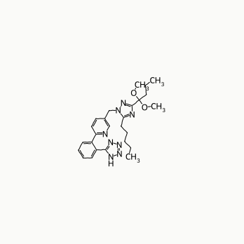 CCCCCc1nc(C(CCC)(OC)OC)nn1Cc1ccc(-c2ccccc2-c2nnn[nH]2)nc1